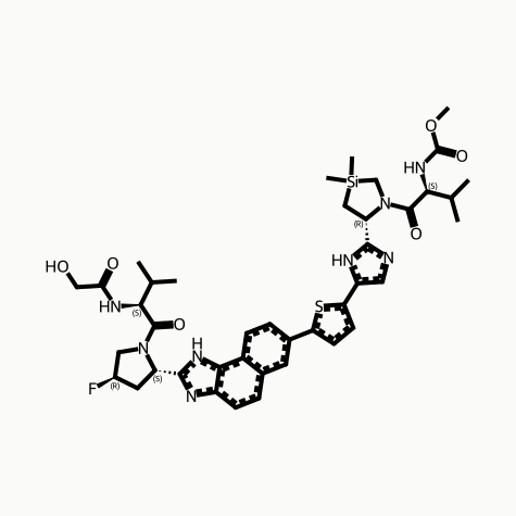 COC(=O)N[C@H](C(=O)N1C[Si](C)(C)C[C@H]1c1ncc(-c2ccc(-c3ccc4c(ccc5nc([C@@H]6C[C@@H](F)CN6C(=O)[C@@H](NC(=O)CO)C(C)C)[nH]c54)c3)s2)[nH]1)C(C)C